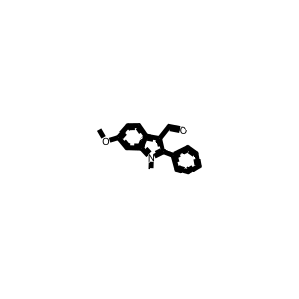 COc1ccc2c(C=O)c(-c3ccccc3)n(C)c2c1